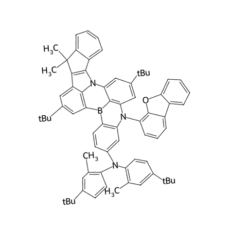 Cc1cc(C(C)(C)C)ccc1N(c1ccc2c(c1)N(c1cccc3c1oc1ccccc13)c1cc(C(C)(C)C)cc3c1B2c1cc(C(C)(C)C)cc2c4c(n-3c12)-c1ccccc1C4(C)C)c1ccc(C(C)(C)C)cc1C